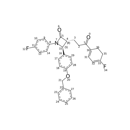 O=C(CC[C@H]1C(=O)N(c2ccc(F)cc2)[C@@H]1c1ccc(OCc2ccccc2)cc1)C1=CC=C(F)CC1